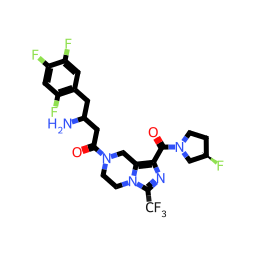 NC(CC(=O)N1CCn2c(C(F)(F)F)nc(C(=O)N3CC[C@@H](F)C3)c2C1)Cc1cc(F)c(F)cc1F